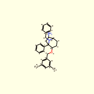 NC1CC2(c3ccccc3)C(OCc3cc(C(F)(F)F)cc(C(F)(F)F)c3)CCC1N2Cc1ccccc1